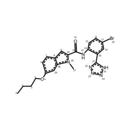 CCCCOc1ccc2cc(C(=O)Nc3ccc(Br)cc3-c3nnn[nH]3)n(C)c2c1